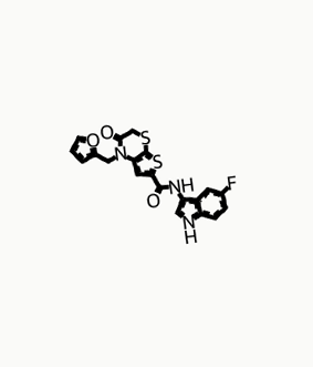 O=C(Nc1c[nH]c2ccc(F)cc12)c1cc2c(s1)SCC(=O)N2Cc1ccco1